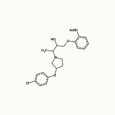 CC(=O)Nc1ccccc1OCC(O)C(C)N1CCC(Oc2ccc(Cl)cc2)C1